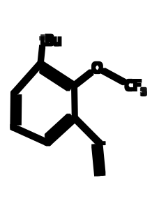 C=[C]c1cccc(C(C)(C)C)c1OC(F)(F)F